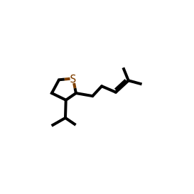 CC(C)=CCCC1SCCC1C(C)C